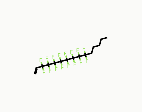 C=CC(F)(F)C(F)(F)C(F)(F)C(F)(F)C(F)(F)C(F)(F)C(F)(F)C(F)(F)CCCCC